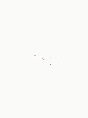 CC(C)(C)OC(=O)NC(C(=O)O[C@H]1C[N+]2(CC(=O)c3ccc(O)cc3)CCC1CC2)c1ccccc1.[Br-]